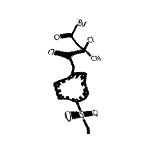 CCC(C)C(=O)C(Cl)(C#N)C(=O)c1ccc(S(C)(=O)=O)cc1